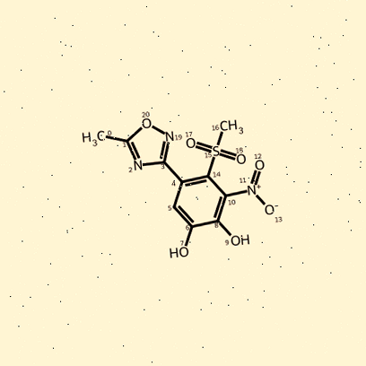 Cc1nc(-c2cc(O)c(O)c([N+](=O)[O-])c2S(C)(=O)=O)no1